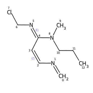 C=N/C=C\C(=N/CCl)N(C)CCC